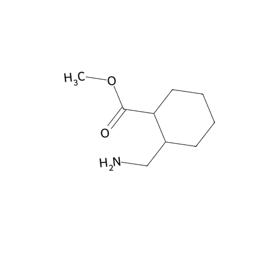 COC(=O)C1CCCCC1CN